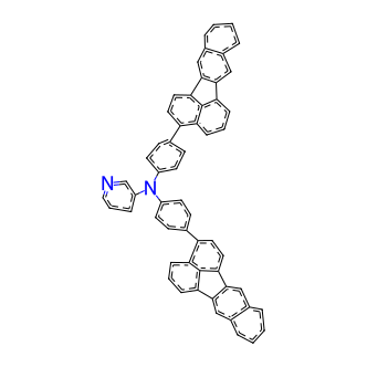 c1cncc(N(c2ccc(-c3ccc4c5c(cccc35)-c3cc5ccccc5cc3-4)cc2)c2ccc(-c3ccc4c5c(cccc35)-c3cc5ccccc5cc3-4)cc2)c1